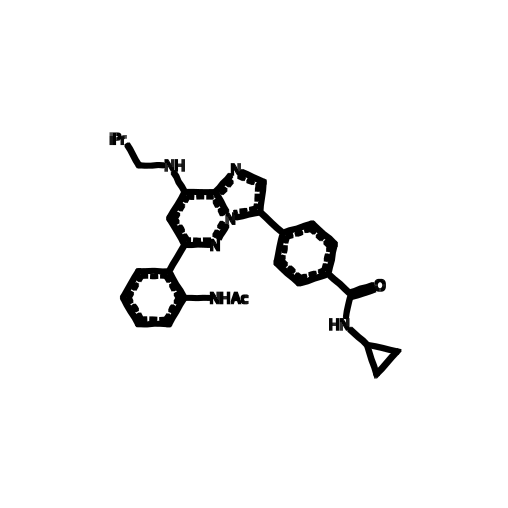 CC(=O)Nc1ccccc1-c1cc(NCC(C)C)c2ncc(-c3ccc(C(=O)NC4CC4)cc3)n2n1